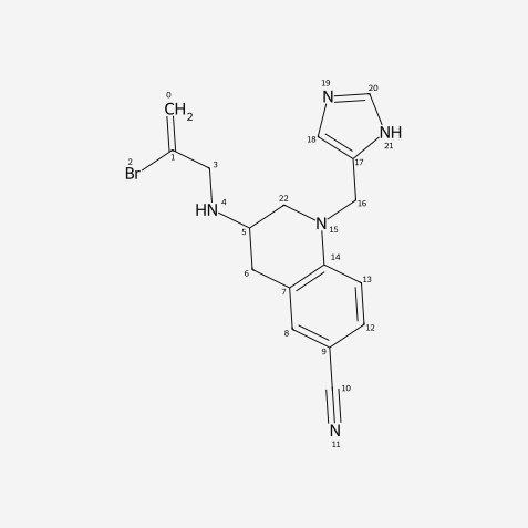 C=C(Br)CNC1Cc2cc(C#N)ccc2N(Cc2cnc[nH]2)C1